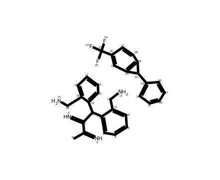 CC(=N)C(=N)C(c1ccccc1CN)c1ccccc1CN.FC(F)(F)c1ccc2c(c1)C2c1ccccc1